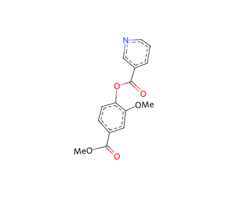 COC(=O)c1ccc(OC(=O)c2cccnc2)c(OC)c1